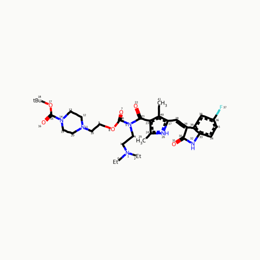 CCN(CC)CCN(C(=O)OCCN1CCN(C(=O)OC(C)(C)C)CC1)C(=O)c1c(C)[nH]c(/C=C2\C(=O)Nc3ccc(F)cc32)c1C